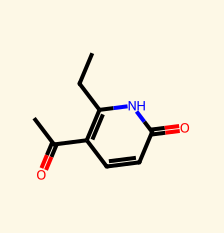 CCc1[nH]c(=O)ccc1C(C)=O